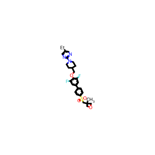 CCc1cnc(N2CCC(COc3c(F)cc(-c4ccc(S(=O)(=O)CC5(C)COC5)cc4)cc3F)CC2)nc1